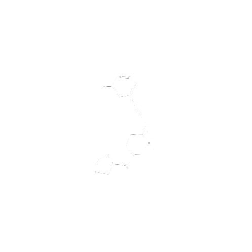 CC1(C)CN(C(=O)N2CCCC2)CC/C1=C\C#Cc1cccc(Cl)c1